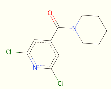 O=C(c1cc(Cl)nc(Cl)c1)N1CCCCC1